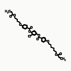 C=CC(=O)OCCCCCCOc1ccc(C(=O)Oc2ccc(OC(=O)c3ccc(OCCCCOC(=O)C=C)cc3)c(Cl)c2)cc1